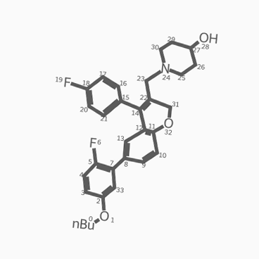 CCCCOc1ccc(F)c(-c2ccc3c(c2)C(c2ccc(F)cc2)=C(CN2CCC(O)CC2)CO3)c1